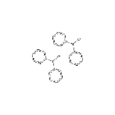 ClI(c1ccccc1)c1ccccc1.ClI(c1ccccc1)c1ccccc1